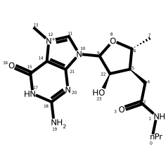 CCCNC(=O)C[C@@H]1[C@@H](C)OC(n2c[n+](C)c3c(=O)[nH]c(N)nc32)[C@@H]1O